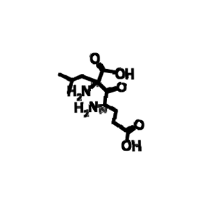 CC(C)C[C@](N)(C(=O)O)C(=O)[C@@H](N)CCC(=O)O